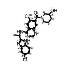 CC(Nc1ncnc2cc(C(=O)N3CCCC(O)C3)c(Cl)cc12)c1nc2cc(Cl)ccc2[nH]1